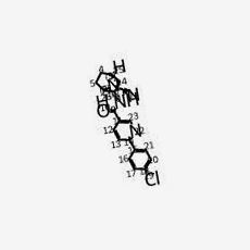 N#CN1[C@H]2CC[C@@H]1[C@H](NC(=O)c1ccc(-c3ccc(Cl)cc3)nc1)C2